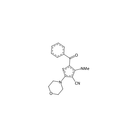 CNc1c(C(=O)c2ccccc2)sc(N2CCOCC2)c1C#N